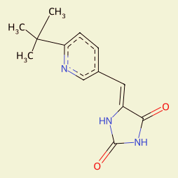 CC(C)(C)c1ccc(/C=C2\NC(=O)NC2=O)cn1